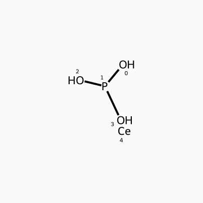 OP(O)O.[Ce]